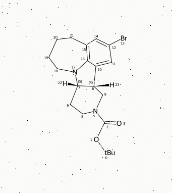 CC(C)(C)OC(=O)N1CC[C@H]2[C@@H](C1)c1cc(Br)cc3c1N2CCCC3